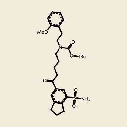 COc1ccccc1CCN(CCCCC(=O)c1cc2c(c(S(N)(=O)=O)c1)CCC2)C(=O)OC(C)(C)C